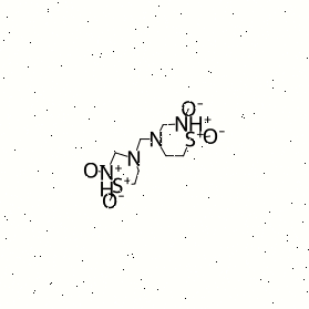 [O-][NH+]1CN(CN2CC[S+]([O-])[NH+]([O-])C2)CC[S+]1[O-]